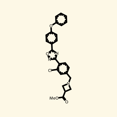 COC(=O)C1CN(Cc2ccc(-c3noc(-c4ccc(Oc5ccccc5)cc4)n3)c(Cl)c2)C1